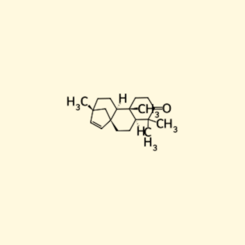 CC1(C)C(=O)CC[C@]2(C)[C@@H]1CC[C@]13C=C[C@](C)(CC[C@H]12)C3